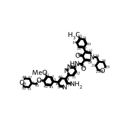 COc1cc(-c2cnc(N)c(-c3ccc(NC(=O)c4cn(CC5CCOCC5)cc(-c5ccc(C)cc5)c4=O)nn3)c2)ccc1OCC1CCOCC1